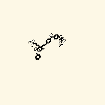 Cc1cn(Cc2ccccc2)c(=O)c(CCCC(=O)O)c1C=Cc1ccc(C(=O)c2ccc(OC(C)(C)C(=O)OC(C)C)cc2)cc1